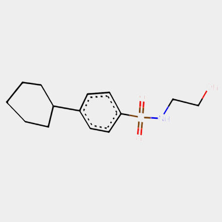 O=S(=O)(NCCO)c1ccc(C2CCCCC2)cc1